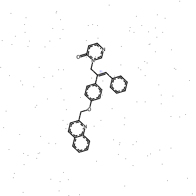 O=c1ccncn1C/C(=C/c1ccccc1)c1ccc(OCc2ccc3ccccc3n2)cc1